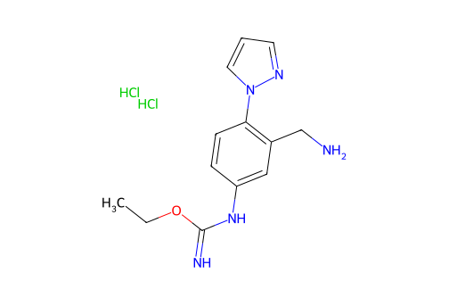 CCOC(=N)Nc1ccc(-n2cccn2)c(CN)c1.Cl.Cl